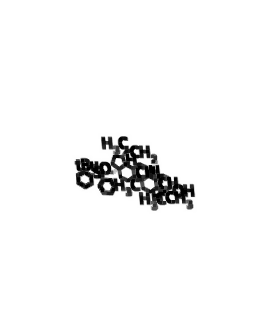 C=C(C)[C@@H]1CC[C@]2(CO[Si](c3ccccc3)(c3ccccc3)C(C)(C)C)CC[C@]3(C)C(CC[C@@H]4[C@@]5(C)CC[C@H](O)C(C)(C)[C@@H]5CC[C@]43C)[C@@H]12